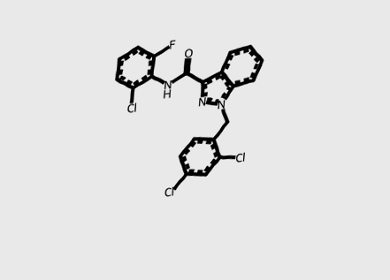 O=C(Nc1c(F)cccc1Cl)c1nn(Cc2ccc(Cl)cc2Cl)c2ccccc12